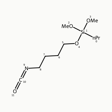 CCC[Si](OC)(OC)OCCCCN=C=O